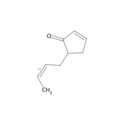 C/C=C\CC1CC=CC1=O